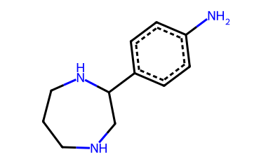 Nc1ccc(C2CNCCCN2)cc1